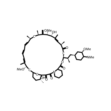 C=C1[C@H](C)C[C@H](C)/C=C/C=C/C=C(\C)[C@@H](OC)CC2CC[C@@H](C)[C@@](O)(O2)C(=O)C(=O)N2CCCCC2C(=O)O[C@H]([C@H](C)C[C@@H]2CCC(NC)[C@H](OC)C2)CC(=O)[C@H](C)/C=C(\C)[C@@H](O)[C@H]1OC